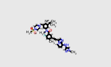 Cc1cc(F)c(C(=O)N(C)c2cc(CN3CCN(S(C)(=O)=O)CC3)cc(C(C)(C)C#N)c2)cc1C#Cc1cnc2c(Nc3cnn(C)c3)cccn12